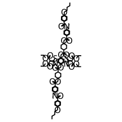 CCCCOc1ccc(C(=O)N(C)c2ccc(C(=O)OC3CCC(C(=O)Oc4c5c(c(OC(=O)C6CCC(OC(=O)c7ccc(N(C)C(=O)c8ccc(OCCCC)cc8)cc7)CC6)c6c4SC(=C(C(=O)OCC)C(=O)OCC)N6C)N(C)C(=C(C(=O)OCC)C(=O)OCC)S5)CC3)cc2)cc1